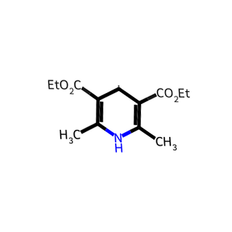 CCOC(=O)C1=C(C)NC(C)=C(C(=O)OCC)[CH]1